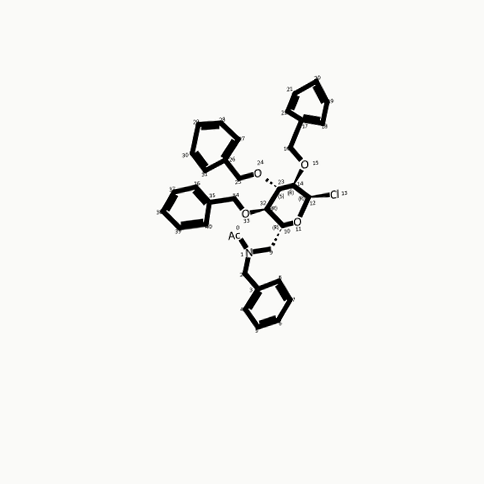 CC(=O)N(Cc1ccccc1)C[C@H]1O[C@H](Cl)[C@H](OCc2ccccc2)[C@@H](OCc2ccccc2)[C@@H]1OCc1ccccc1